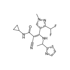 CC(NC(=C(C#N)C(=O)NC1CC1)c1cn(C)nc1C(F)F)c1nccs1